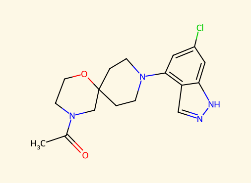 CC(=O)N1CCOC2(CCN(c3cc(Cl)cc4[nH]ncc34)CC2)C1